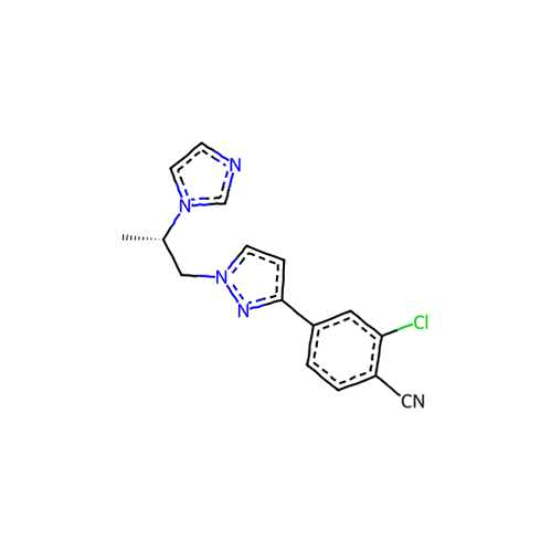 C[C@@H](Cn1ccc(-c2ccc(C#N)c(Cl)c2)n1)n1ccnc1